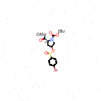 COC(=O)[C@@H]1C[C@H](OS(=O)c2ccc(Br)cc2)CN1C(=O)OC(C)(C)C